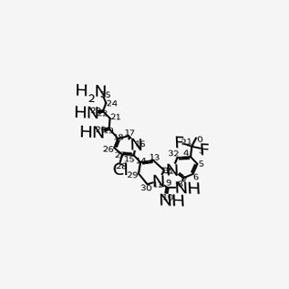 CC(F)(F)c1ccc(NC(=N)N2CC=C(c3ncc(C(=N)CC(=N)CN)cc3Cl)CC2)nc1